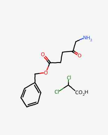 NCC(=O)CCC(=O)OCc1ccccc1.O=C(O)C(Cl)Cl